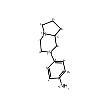 Nc1ccc(N2CCN3CCCC3C2)cc1